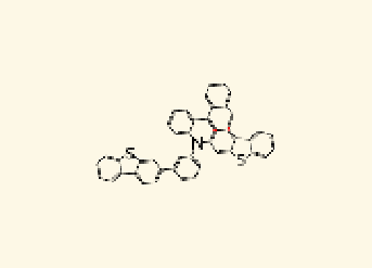 c1cc(-c2ccc3c(c2)sc2ccccc23)cc(N(c2ccc3c(c2)sc2ccccc23)c2ccccc2-c2cccc3ccccc23)c1